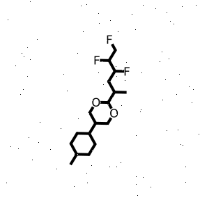 CC1CCC(C2COC(C(C)CC(F)C(F)CF)OC2)CC1